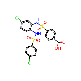 O=C(O)c1ccc(S(=O)(=O)Nc2cc(Cl)ccc2NS(=O)(=O)c2ccc(Cl)cc2)cc1